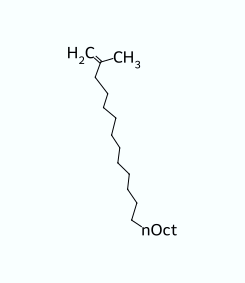 C=C(C)CCCCCCCCCCCCCCCCCCC